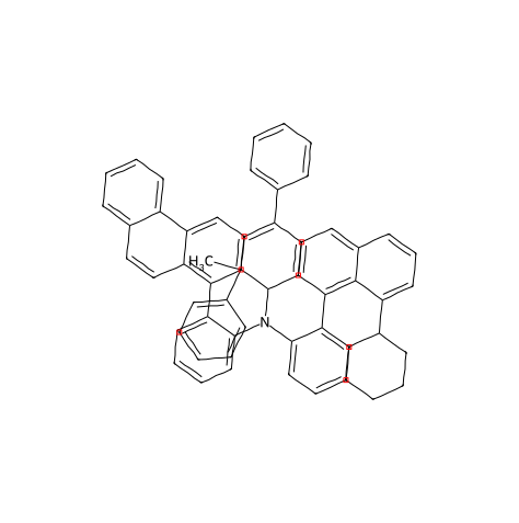 CC1(c2ccccc2)C=C(c2ccccc2)C=CC1N(c1ccccc1-c1cccc2c1ccc1ccccc12)c1ccccc1-c1cccc2cccc(C3CCCCC3)c12